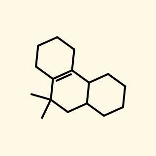 CC1(C)CC2CCCCC2C2=C1CCCC2